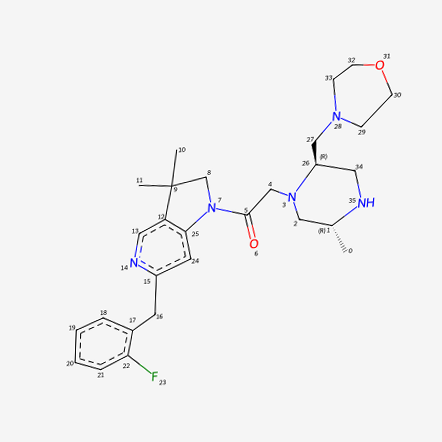 C[C@@H]1CN(CC(=O)N2CC(C)(C)c3cnc(Cc4ccccc4F)cc32)[C@@H](CN2CCOCC2)CN1